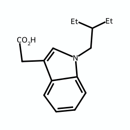 CCC(CC)Cn1cc(CC(=O)O)c2ccccc21